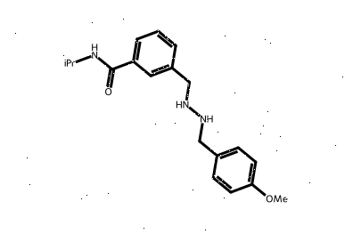 COc1ccc(CNNCc2cccc(C(=O)NC(C)C)c2)cc1